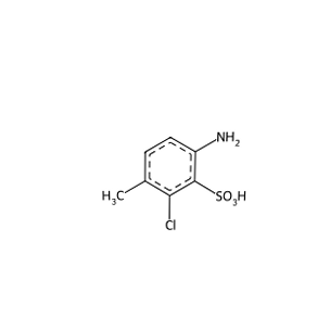 Cc1ccc(N)c(S(=O)(=O)O)c1Cl